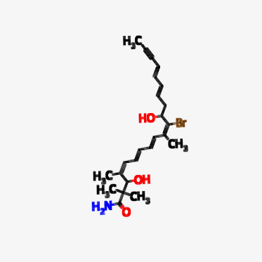 CC#CC=CC=CCC(O)C(Br)=C(C)C=CC=CC=C(C)C(O)C(C)(C)C(N)=O